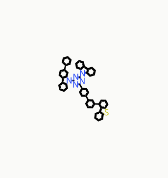 c1ccc(-c2ccc3c4ccccc4n(-c4nc(-c5ccc(-c6cccc(-c7cccc8sc9ccccc9c78)c6)cc5)nc(-n5c6ccccc6c6ccccc65)n4)c3c2)cc1